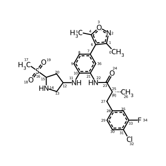 Cc1noc(C)c1-c1ccc(NC2CNC(S(C)(=O)=O)C2)c(NC(=O)[C@H](C)Cc2ccc(Cl)c(F)c2)c1